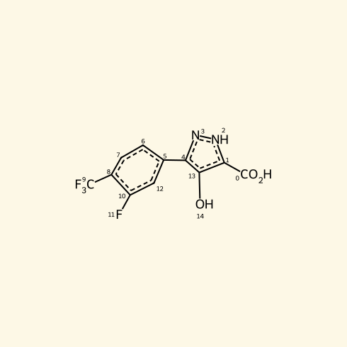 O=C(O)c1[nH]nc(-c2ccc(C(F)(F)F)c(F)c2)c1O